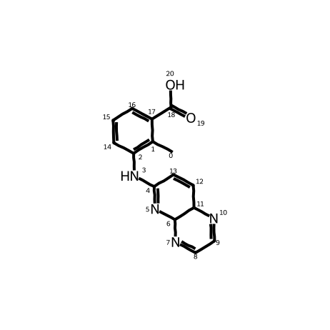 Cc1c(NC2=NC3N=CC=NC3C=C2)cccc1C(=O)O